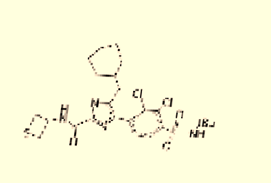 CC(C)(C)NS(=O)(=O)c1ccc(-c2sc(C(=O)NC3CSC3)nc2CC2CCCCC2)c(Cl)c1Cl